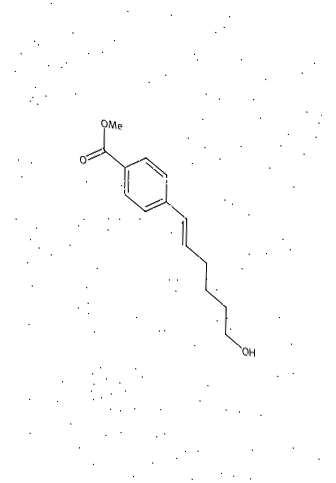 COC(=O)c1ccc(/C=C/CCCCO)cc1